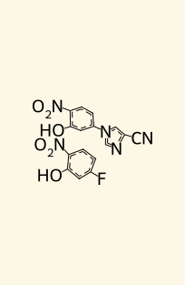 N#Cc1cn(-c2ccc([N+](=O)[O-])c(O)c2)cn1.O=[N+]([O-])c1ccc(F)cc1O